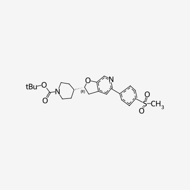 CC(C)(C)OC(=O)N1CCC([C@H]2Cc3cc(-c4ccc(S(C)(=O)=O)cc4)ncc3O2)CC1